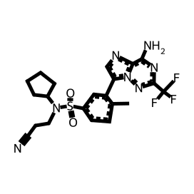 Cc1ccc(S(=O)(=O)N(CCC#N)C2CCCC2)cc1-c1cnc2c(N)nc(C(F)(F)F)nn12